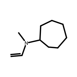 C=CN(C)C1CCCCCC1